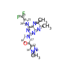 Cc1nc2nc(N3CCO[C@H](c4cnn(C)c4)C3)nc(N3CC(C(F)F)C3)c2nc1C